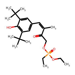 CCOP(=O)(CC)OCC(=O)C(C)=Cc1cc(C(C)(C)C)c(O)c(C(C)(C)C)c1